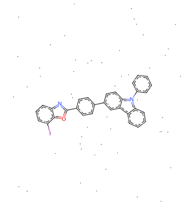 Ic1cccc2nc(-c3ccc(-c4ccc5c(c4)c4ccccc4n5-c4ccccc4)cc3)oc12